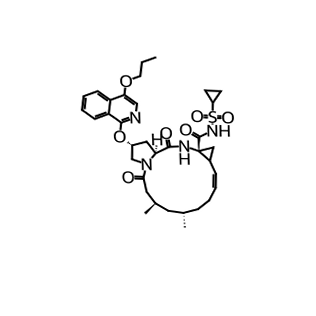 CCCOc1cnc(O[C@@H]2C[C@H]3C(=O)N[C@]4(C(=O)NS(=O)(=O)C5CC5)CC4/C=C\CC[C@H](C)C[C@@H](C)CC(=O)N3C2)c2ccccc12